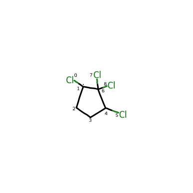 Cl[C]1CCC(Cl)C1(Cl)Cl